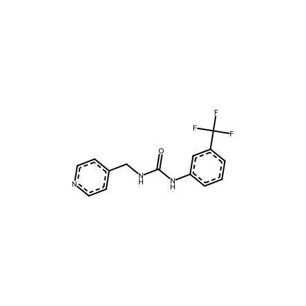 O=C(NCc1ccncc1)Nc1cccc(C(F)(F)F)c1